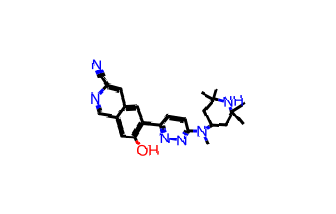 CN(c1ccc(-c2cc3cc(C#N)ncc3cc2O)nn1)C1CC(C)(C)NC(C)(C)C1